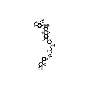 CCc1cc(Nc2ncc(Br)c(Nc3ccc4nccnc4c3P(C)(C)=O)n2)c(OC)cc1N1CCC(NCCNC[C@H]2C[C@@H](Oc3cccc(C4CCC(=O)NC4=O)c3)C2)CC1